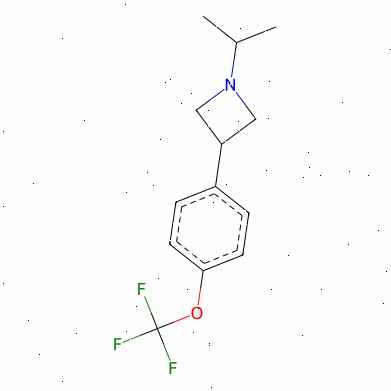 CC(C)N1CC(c2ccc(OC(F)(F)F)cc2)C1